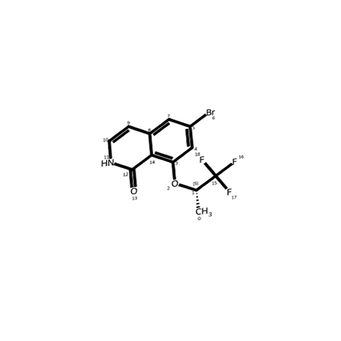 C[C@H](Oc1cc(Br)cc2cc[nH]c(=O)c12)C(F)(F)F